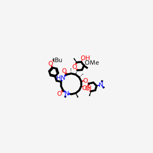 CO[C@]1(C)C[C@H](C2[C@@H](C)C(=O)NC(Cc3ccc(OC(C)(C)C)cc3)CC(=O)N(C)C[C@H](C)C[C@@H](O)[C@H](O[C@H]3C[C@@H](N(C)C)C[C@@H](C)O3)[C@H]2C)O[C@@H](C)[C@@H]1O